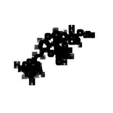 CC(C)(C)OC(=O)NC(C)(CN1CC(Oc2ccc(CCB3O[C@@H]4C[C@@H]5C[C@@H](C5(C)C)[C@]4(C)O3)c(OC(=O)OC(C)(C)C)c2C(=O)OC(C)(C)C)C1)C(=O)OCCCO